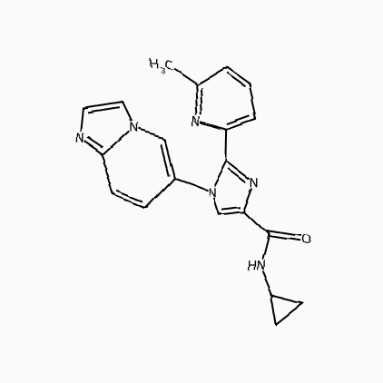 Cc1cccc(-c2nc(C(=O)NC3CC3)cn2-c2ccc3nccn3c2)n1